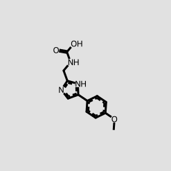 COc1ccc(-c2cnc(CNC(=O)O)[nH]2)cc1